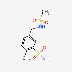 Cc1ccc(CNS(C)(=O)=O)cc1S(N)(=O)=O